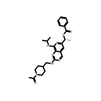 CC(=O)N1CCC(CNc2ncc3cc([C@@H](C)OC(=O)c4ccccc4)nc(NC(C)C)c3n2)CC1